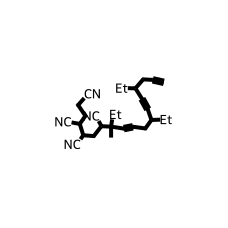 C#CCC(C#CC(CC)CC#CC(C)(CC)C(C#N)CC(C#N)C(C#N)CCC#N)CC